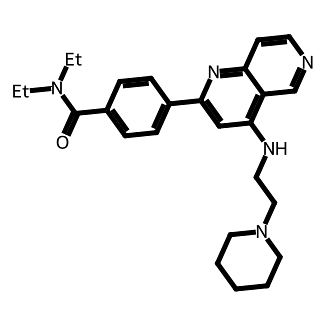 CCN(CC)C(=O)c1ccc(-c2cc(NCCN3CCCCC3)c3cnccc3n2)cc1